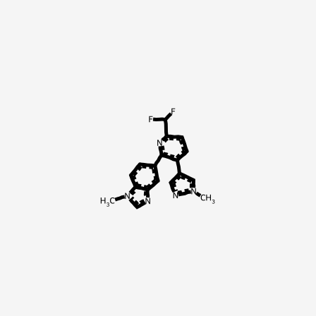 Cn1cc(-c2ccc(C(F)F)nc2-c2ccc3c(c2)ncn3C)cn1